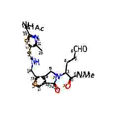 CNC(=O)C(CCC=O)N1Cc2c(csc2CNSc2sc(NC(C)=O)nc2C)C1=O